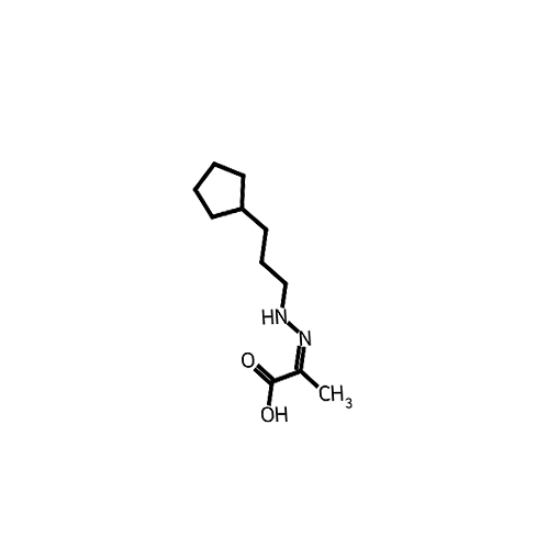 C/C(=N/NCCCC1CCCC1)C(=O)O